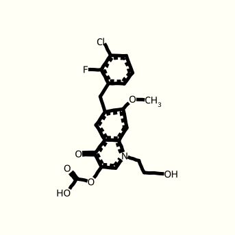 COc1cc2c(cc1Cc1cccc(Cl)c1F)c(=O)c(OC(=O)O)cn2CCO